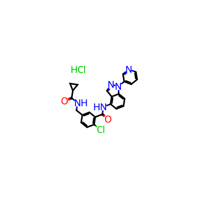 Cl.O=C(Nc1cccc2c1cnn2-c1cccnc1)c1cc(CNC(=O)C2CC2)ccc1Cl